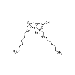 NCCCCCCNCP(=O)(O)CN(CCO)CP(=O)(O)CNCCCCCCN